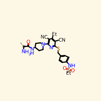 CCc1c(C#N)c(SCc2ccc(NS(=O)(=O)CC)cc2)nc(N2CCC(NC(=O)[C@@H](C)N)CC2)c1C#N